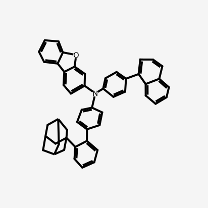 c1ccc(C23CC4CC(CC(C4)C2)C3)c(-c2ccc(N(c3ccc(-c4cccc5ccccc45)cc3)c3ccc4c(c3)oc3ccccc34)cc2)c1